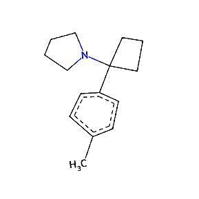 Cc1ccc(C2(N3CCCC3)CCC2)cc1